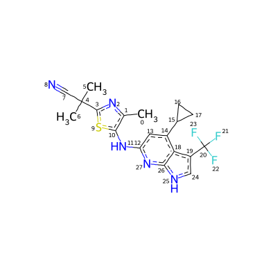 Cc1nc(C(C)(C)C#N)sc1Nc1cc(C2CC2)c2c(C(F)(F)F)c[nH]c2n1